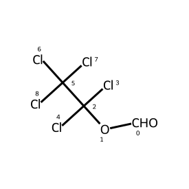 O=COC(Cl)(Cl)C(Cl)(Cl)Cl